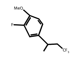 COc1ccc([C](C)CC(F)(F)F)cc1F